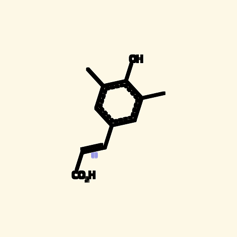 Cc1cc(/C=C/C(=O)O)cc(C)c1O